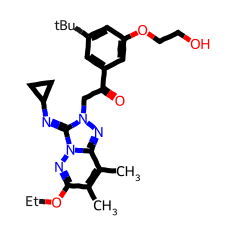 CCOc1nn2/c(=N/C3CC3)n(CC(=O)c3cc(OCCO)cc(C(C)(C)C)c3)nc2c(C)c1C